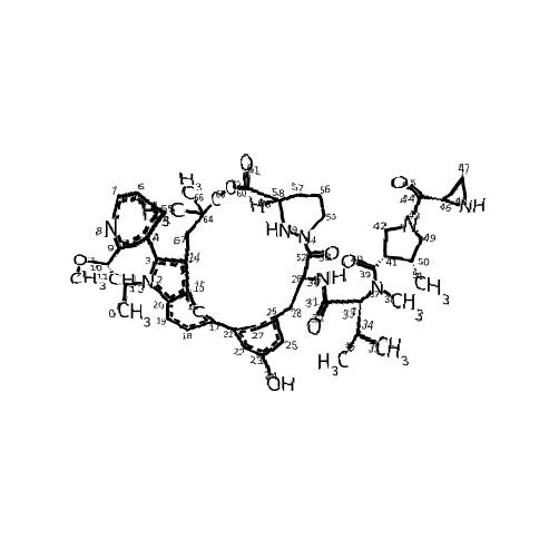 CCn1c(-c2cccnc2[C@H](C)OC)c2c3cc(ccc31)-c1cc(O)cc(c1)C[C@H](NC(=O)[C@H](C(C)C)N(C)C(=O)[C@@H]1CN(C(=O)[C@H]3CN3)C[C@@H]1C)C(=O)N1CCC[C@H](N1)C(=O)OCC(C)(C)C2